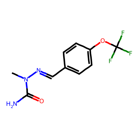 CN(N=Cc1ccc(OC(F)(F)F)cc1)C(N)=O